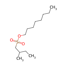 CCCCCCCCOS(=O)(=O)CC(C)CC